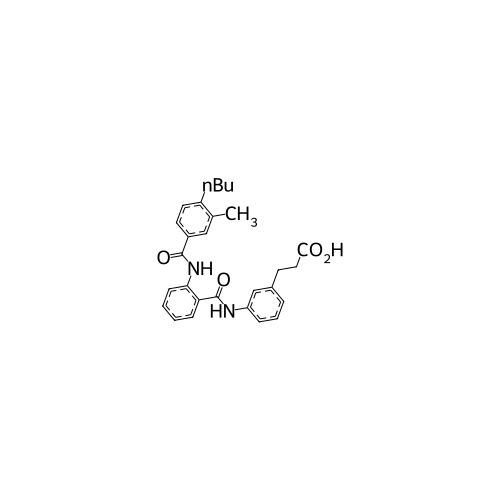 CCCCc1ccc(C(=O)Nc2ccccc2C(=O)Nc2cccc(CCC(=O)O)c2)cc1C